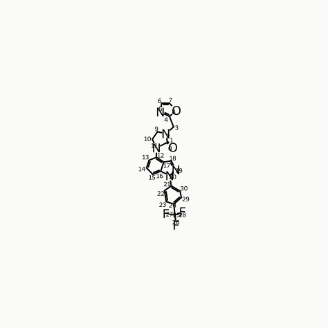 O=C1N(Cc2ncco2)CCN1c1cccc2c1cnn2-c1ccc(C(F)(F)F)cc1